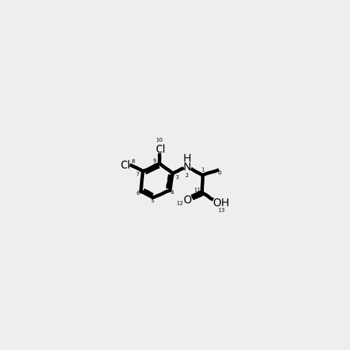 CC(Nc1cccc(Cl)c1Cl)C(=O)O